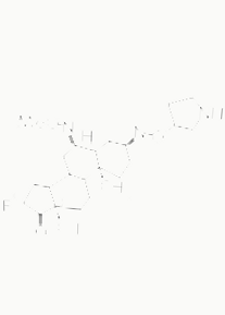 CON=C1CC2C3C[C@@H](F)C(=O)[C@@]3(C)CCC2[C@@]2(C)CCC(=NOC3CCNC3)C[C@H]12